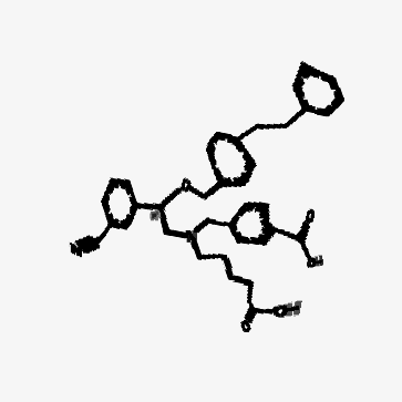 N#Cc1cccc([C@H](CN(CCCCC(=O)O)Cc2ccc(C(=O)O)cc2)OCc2ccc(CCc3ccccc3)cc2)c1